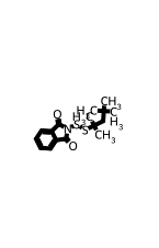 CC(C)(C)CC(C)(C)SSN1C(=O)c2ccccc2C1=O